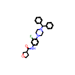 O=C(Nc1ccc(N2CCN(C(c3ccccc3)c3ccccc3)CC2)c(F)c1)C1CCOC1